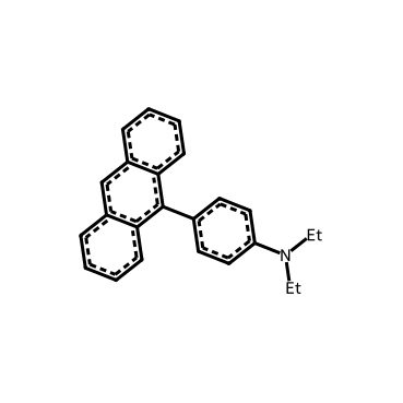 CCN(CC)c1ccc(-c2c3ccccc3cc3ccccc23)cc1